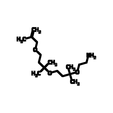 C=C(C)COCCC(C)(C)OCCC(C)(C)OCCN